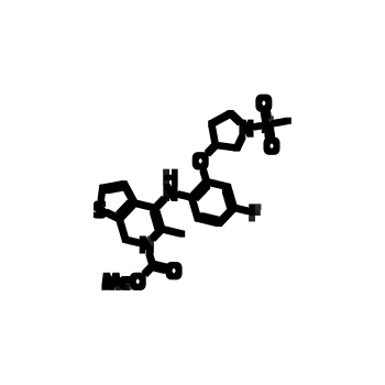 COC(=O)N1Cc2sccc2C(Nc2ccc(F)cc2OC2CCN(S(C)(=O)=O)C2)=C1C